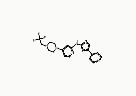 FC(F)(F)CN1CCN(c2ccnc(Nc3ncc(-c4ccncc4)s3)c2)CC1